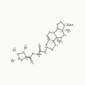 CCCCCCCC[C@H]1CCC2C3CC=C4CC(OC(=O)NCC(=O)N5C[C@H](CC)[C@H](CC)[C@@H]5CC)CC[C@]4(C)C3CC[C@@]21C